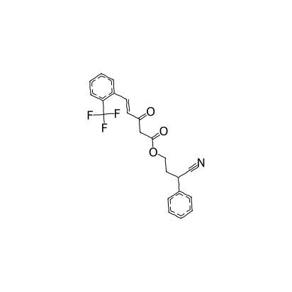 N#CC(CCOC(=O)CC(=O)C=Cc1ccccc1C(F)(F)F)c1ccccc1